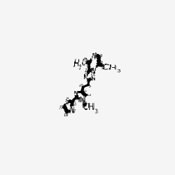 Cc1ncc(C)n2nc(CCc3cn(C)c(-c4nccs4)n3)nc12